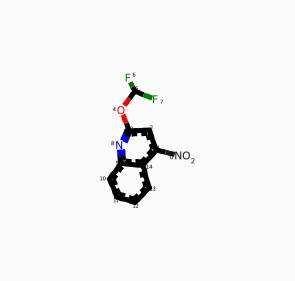 O=[N+]([O-])c1cc(OC(F)F)nc2ccccc12